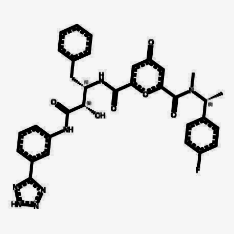 C[C@H](c1ccc(F)cc1)N(C)C(=O)c1cc(=O)cc(C(=O)N[C@@H](Cc2ccccc2)[C@H](O)C(=O)Nc2cccc(-c3nn[nH]n3)c2)o1